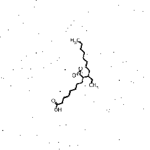 CCCCCCCCC(CC)C(CCCCCCCC(=O)O)[N+](=O)[O-]